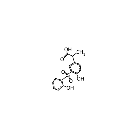 CC(C(=O)O)c1ccc(O)c(S(=O)(=O)c2ccccc2O)c1